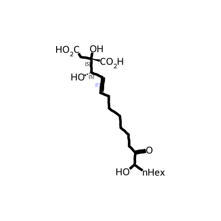 CCCCCCC(O)C(=O)CCCCCC/C=C/[C@H](O)[C@@](O)(CC(=O)O)C(=O)O